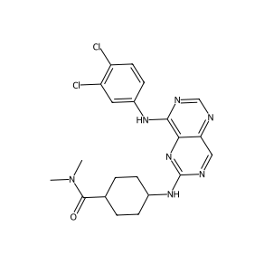 CN(C)C(=O)C1CCC(Nc2ncc3ncnc(Nc4ccc(Cl)c(Cl)c4)c3n2)CC1